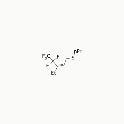 [CH2]CCSCC=C(CC)C(F)(F)C(F)(F)F